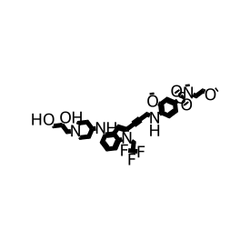 COCCN(C)S(=O)(=O)c1ccc(NCC#Cc2cc3c(NC4CCN(CC(O)CO)CC4)cccc3n2CC(F)(F)F)c(OC)c1